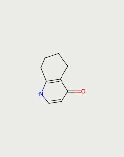 O=C1C=C[N]C2=C1CCCC2